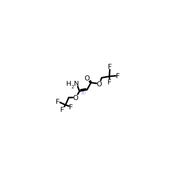 N/C(=C\C(=O)OCC(F)(F)F)OCC(F)(F)F